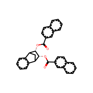 O=C(O[C@@H]1C2CC(c3ccccc32)[C@@H]1OC(=O)c1ccc2ccccc2c1)c1ccc2ccccc2c1